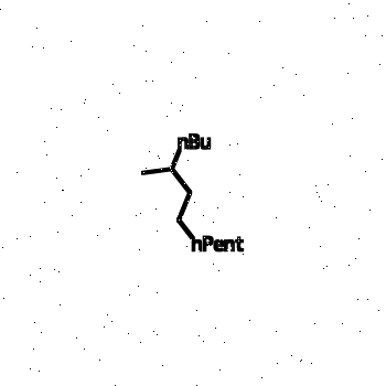 CCCCCCCC(C)CCCC